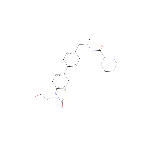 N#C[C@H](Cc1ccc(-c2ccc3c(c2)sc(=O)n3CCO)cc1)NC(=O)C1CCCCN1